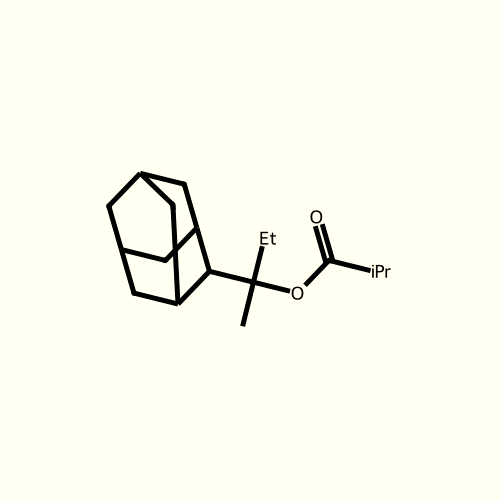 CCC(C)(OC(=O)C(C)C)C1C2CC3CC(C2)CC1C3